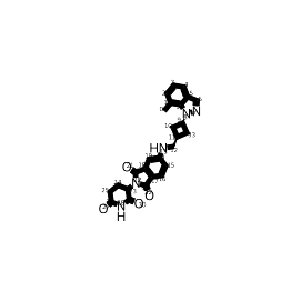 Cc1cccc2cnn([C@H]3C[C@H](CNc4ccc5c(c4)C(=O)N(C4CCC(=O)NC4=O)C5=O)C3)c12